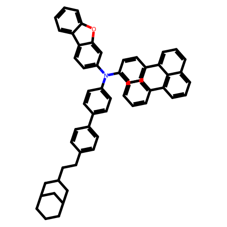 c1ccc(-c2cccc3cccc(-c4ccc(N(c5ccc(-c6ccc(CCC7CC8CCCC(C8)C7)cc6)cc5)c5ccc6c(c5)oc5ccccc56)cc4)c23)cc1